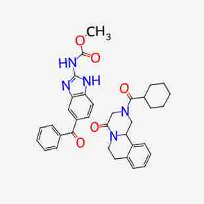 COC(=O)Nc1nc2cc(C(=O)c3ccccc3)ccc2[nH]1.O=C(C1CCCCC1)N1CC(=O)N2CCc3ccccc3C2C1